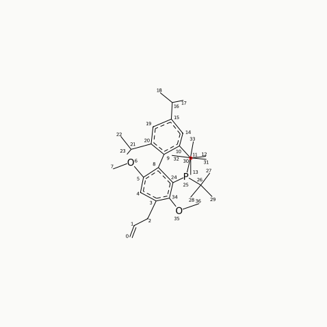 C=CCc1cc(OC)c(-c2c(C(C)C)cc(C(C)C)cc2C(C)C)c(P(C(C)(C)C)C(C)(C)C)c1OC